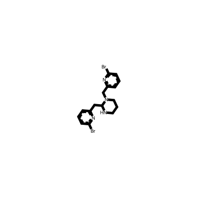 Brc1cccc(CC2NCCCN2Cc2cccc(Br)n2)n1